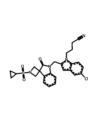 N#CCCCn1c(CN2C(=O)C3(CN(S(=O)(=O)C4CC4)C3)c3ccccc32)cc2cc(Cl)ccc21